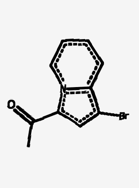 CC(=O)c1cc(Br)c2ccccn12